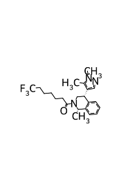 Cc1c([C@H]2CN(C(=O)CCCCCC(F)(F)F)[C@@H](C)c3ccccc32)cnn1C